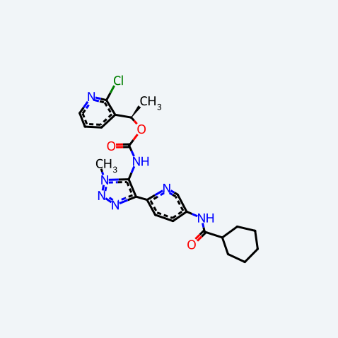 C[C@@H](OC(=O)Nc1c(-c2ccc(NC(=O)C3CCCCC3)cn2)nnn1C)c1cccnc1Cl